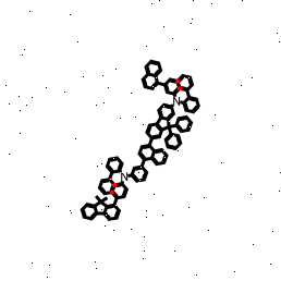 CC1(C)c2ccccc2-c2cccc(-c3ccc(N(c4cccc(-c5ccc(-c6ccc7c(c6)C(c6ccccc6)(c6ccccc6)c6cc(N(c8cccc(-c9cccc%10ccccc9%10)c8)c8ccccc8-c8ccccc8)ccc6-7)c6ccccc56)c4)c4ccccc4-c4ccccc4)cc3)c21